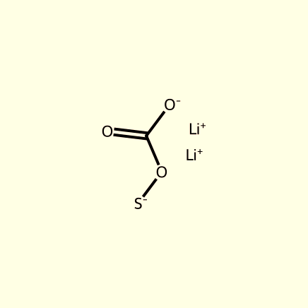 O=C([O-])O[S-].[Li+].[Li+]